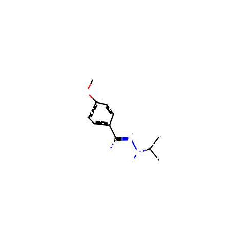 COc1ccc(/C(N)=N/N(N)C(C)C)cc1